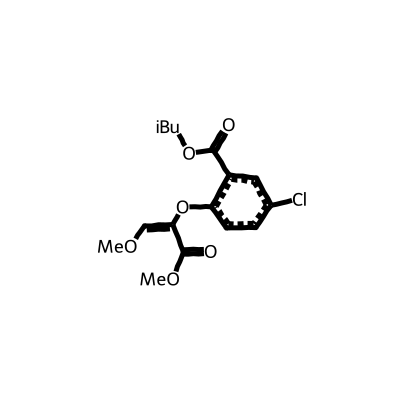 CCC(C)OC(=O)c1cc(Cl)ccc1OC(=COC)C(=O)OC